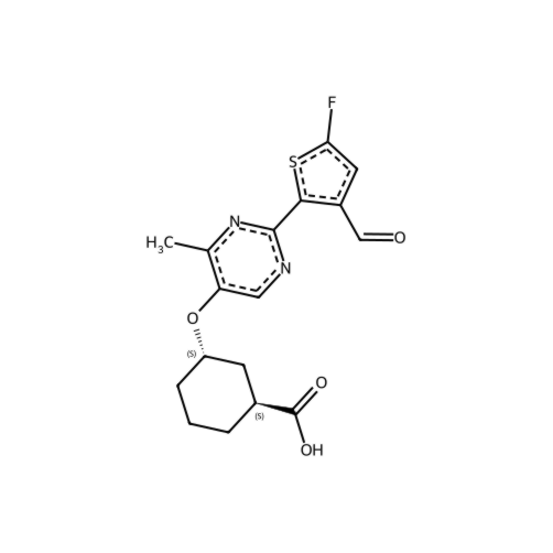 Cc1nc(-c2sc(F)cc2C=O)ncc1O[C@H]1CCC[C@H](C(=O)O)C1